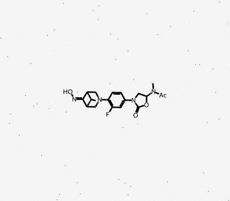 CC(=O)N(C)C1CN(c2ccc(N3CC4C(=NO)C(C3)C4C)c(F)c2)C(=O)O1